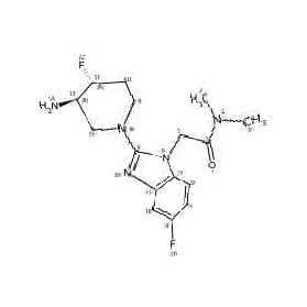 CN(C)C(=O)Cn1c(N2CC[C@@H](F)[C@H](N)C2)nc2cc(F)ccc21